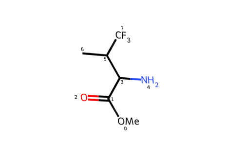 COC(=O)C(N)C(C)C(F)(F)F